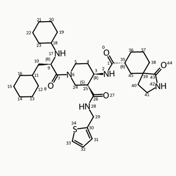 O=C(N[C@@H]1CCN(C(=O)[C@@H](CC2CCCCC2)NC2CCCCC2)C[C@@H]1C(=O)NCc1cccs1)[C@@H]1CCCC2(CCNC2=O)C1